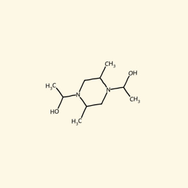 CC(O)N1CC(C)N(C(C)O)CC1C